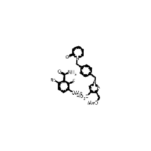 COCc1nn(Cc2ccc(Cn3ccccc3=O)cc2)cc1C(=O)O.COc1ccc(Br)c(C(N)=O)c1F